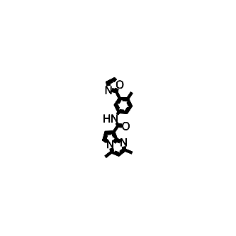 Cc1cc(C)n2ccc(C(=O)Nc3ccc(C)c(-c4ncco4)c3)c2n1